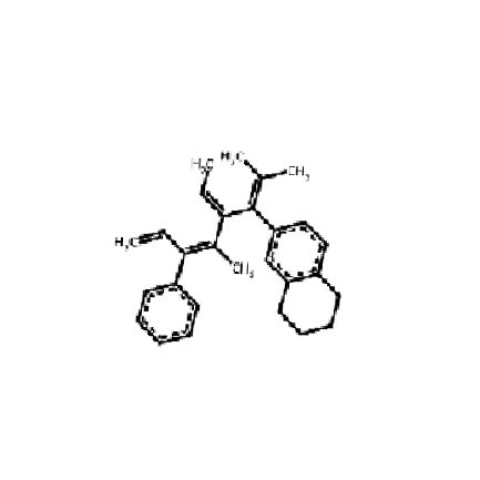 C=C/C(=C(C)\C(=C\C)C(=C(C)C)c1ccc2c(c1)CCCC2)c1ccccc1